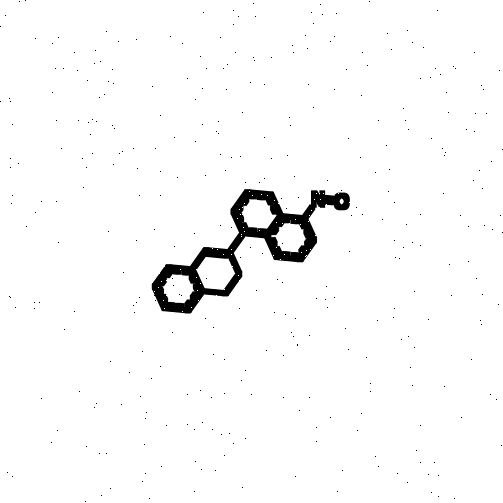 O=Nc1cccc2c(C3=Cc4ccccc4CC3)cccc12